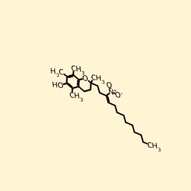 CCCCCCCCC/C=C(/CCC1(C)CCc2c(C)c(O)c(C)c(C)c2O1)[N+](=O)[O-]